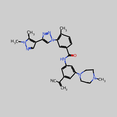 C=C(C#N)c1cc(NC(=O)c2ccc(C)c(-n3cc(-c4cnn(C)c4C)nn3)c2)cc(N2CCN(C)CC2)c1